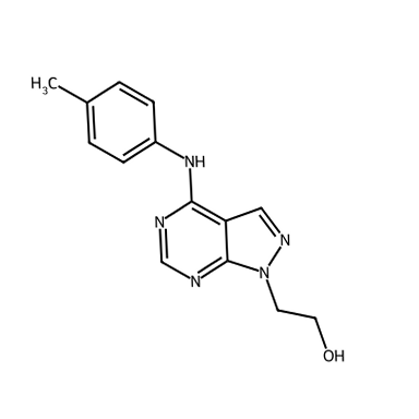 Cc1ccc(Nc2ncnc3c2cnn3CCO)cc1